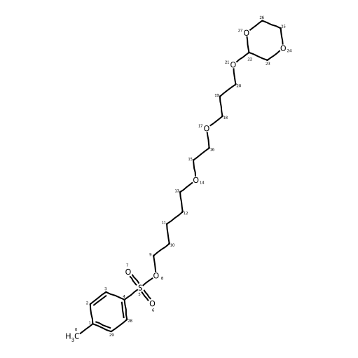 Cc1ccc(S(=O)(=O)OCCCCCOCCOCCCOC2COCCO2)cc1